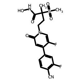 CC(CCn1cc(F)c(-c2ccc(C#N)c(F)c2)cc1=O)(C(=O)NO)S(C)(=O)=O